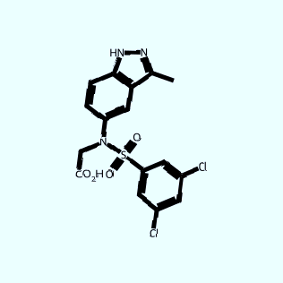 Cc1n[nH]c2ccc(N(CC(=O)O)S(=O)(=O)c3cc(Cl)cc(Cl)c3)cc12